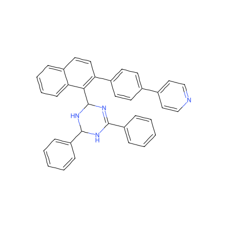 c1ccc(C2=NC(c3c(-c4ccc(-c5ccncc5)cc4)ccc4ccccc34)NC(c3ccccc3)N2)cc1